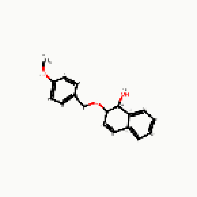 COc1ccc(COC2C=Cc3ccccc3C2O)cc1